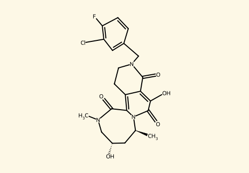 C[C@H]1C[C@H](O)CN(C)C(=O)c2c3c(c(O)c(=O)n21)C(=O)N(Cc1ccc(F)c(Cl)c1)CC3